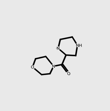 O=C(C1CNCC[N]1)N1CCOCC1